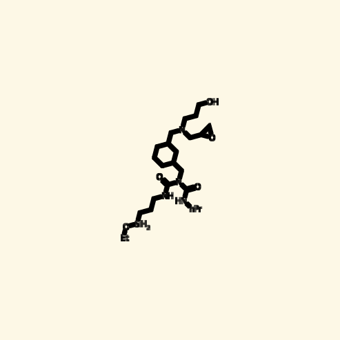 CCCNC(=O)N(CC1CCCC(CN(CCCO)CC2CO2)C1)C(=O)NCCC[SiH2]OCC